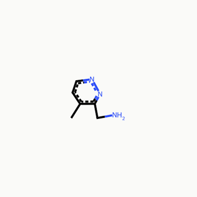 Cc1ccnnc1CN